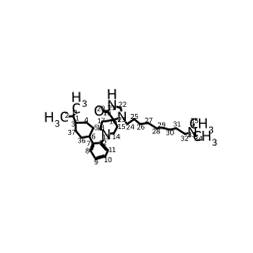 CC(C)C1CCC(c2ccccc2N2CCC3(CC2)C(=O)NCN3CCCCCCCCCN(C)C)CC1